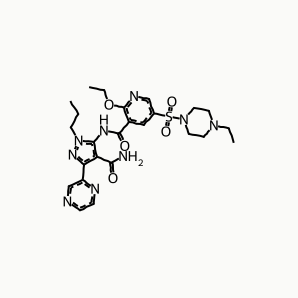 CCCn1nc(-c2cnccn2)c(C(N)=O)c1NC(=O)c1cc(S(=O)(=O)N2CCN(CC)CC2)cnc1OCC